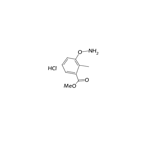 COC(=O)c1cccc(ON)c1C.Cl